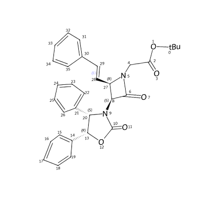 CC(C)(C)OC(=O)CN1C(=O)[C@@H](N2C(=O)O[C@H](c3ccccc3)[C@@H]2c2ccccc2)[C@H]1/C=C/c1ccccc1